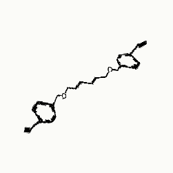 C=Cc1ccc(COCCCCCCOCc2ccc(C=C)cc2)cc1